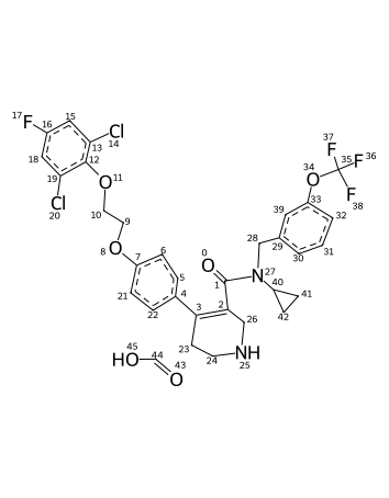 O=C(C1=C(c2ccc(OCCOc3c(Cl)cc(F)cc3Cl)cc2)CCNC1)N(Cc1cccc(OC(F)(F)F)c1)C1CC1.O=CO